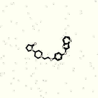 O=C1CCCN1C1CCN(CCOc2ccc(Oc3cc4ncccc4s3)cc2)CC1